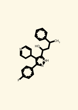 CC(CC(O)c1[nH]nc(-c2ccc(F)cc2)c1C1C=CN=CC1)c1ccccc1